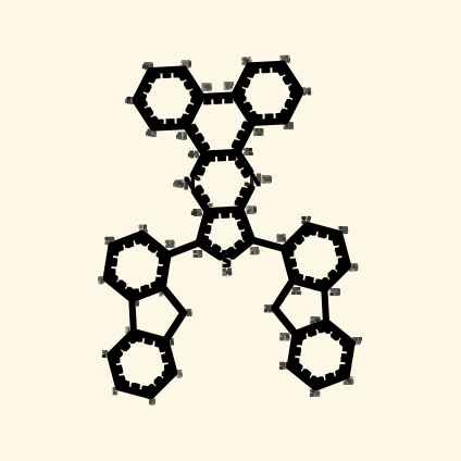 c1ccc2c(c1)Cc1c-2cccc1-c1sc(-c2cccc3c2Cc2ccccc2-3)c2nc3c4ccccc4c4ccccc4c3nc12